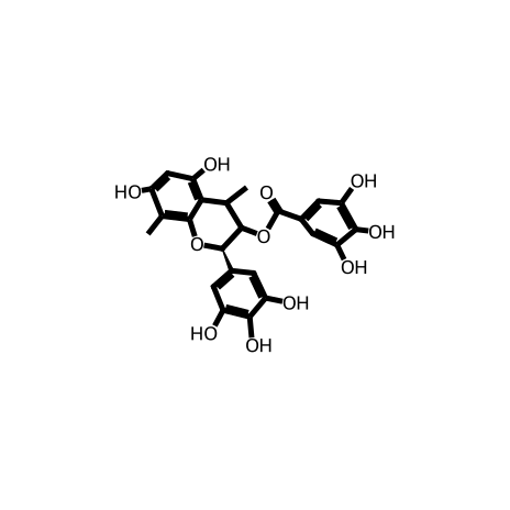 Cc1c(O)cc(O)c2c1O[C@H](c1cc(O)c(O)c(O)c1)C(OC(=O)c1cc(O)c(O)c(O)c1)C2C